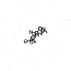 C=Cc1ccc2c(-c3cc(C#N)c(N4CCN(C(=O)CCOC)[C@H](C5CC5)C4)nc3C3CC3)cccc2n1